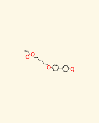 C=CC(=O)OCCCCCCOc1ccc(-c2ccc(OC)cc2)cc1